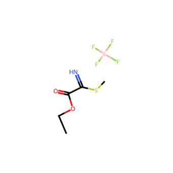 CCOC(=O)C(=N)SC.F[B-](F)(F)F